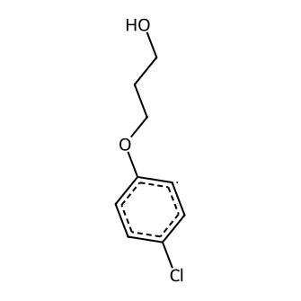 OCCCOc1[c]cc(Cl)cc1